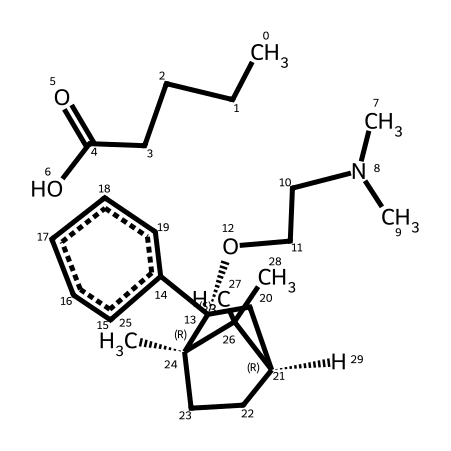 CCCCC(=O)O.CN(C)CCO[C@]1(c2ccccc2)C[C@H]2CC[C@]1(C)C2(C)C